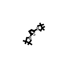 CC1(C)CB(c2ccc(B3CC(C)(C)C(C)(C)C3)s2)CC1(C)C